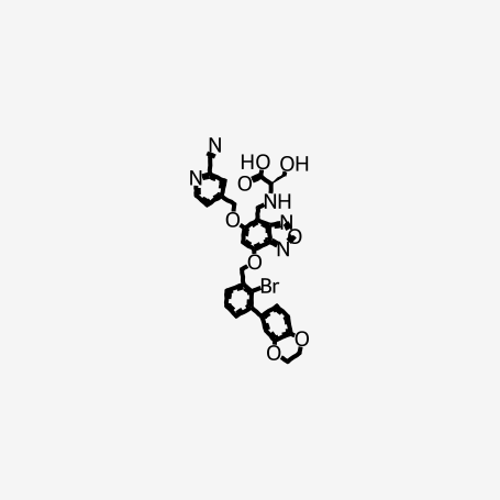 N#Cc1cc(COc2cc(OCc3cccc(-c4ccc5c(c4)OCCO5)c3Br)c3nonc3c2CN[C@H](CO)C(=O)O)ccn1